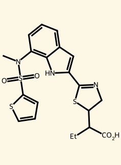 CCC(C(=O)O)C1CN=C(c2cc3cccc(N(C)S(=O)(=O)c4cccs4)c3[nH]2)S1